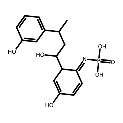 CC(CC(O)C1C=C(O)C=CC1=NP(=O)(O)O)c1cccc(O)c1